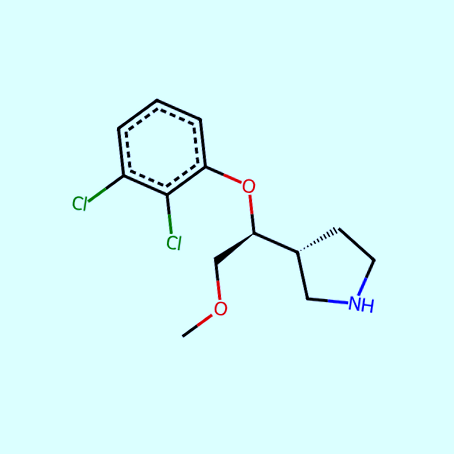 COC[C@@H](Oc1cccc(Cl)c1Cl)[C@@H]1CCNC1